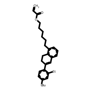 C=CC(=O)OCCCCCCc1cccc2c1CCC(c1ccc(C(C)(C)C)cc1CC)=C2